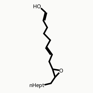 CCCCCCCCC1OC1CC=CCCCC=CO